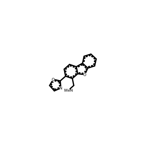 CNCc1c(-c2ncco2)ccc2c1oc1ccccc12